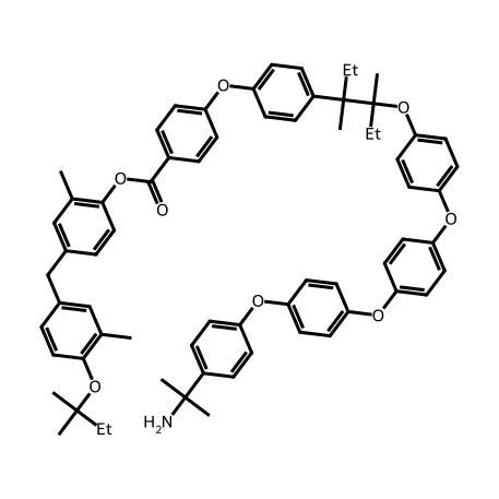 CCC(C)(C)Oc1ccc(Cc2ccc(OC(=O)c3ccc(Oc4ccc(C(C)(CC)C(C)(CC)Oc5ccc(Oc6ccc(Oc7ccc(Oc8ccc(C(C)(C)N)cc8)cc7)cc6)cc5)cc4)cc3)c(C)c2)cc1C